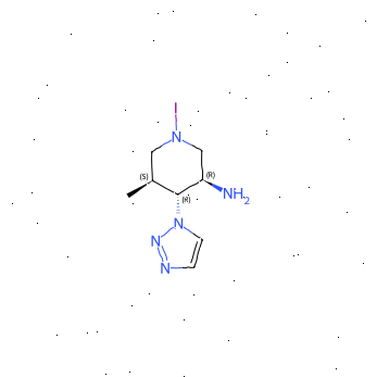 C[C@H]1CN(I)C[C@@H](N)[C@@H]1n1ccnn1